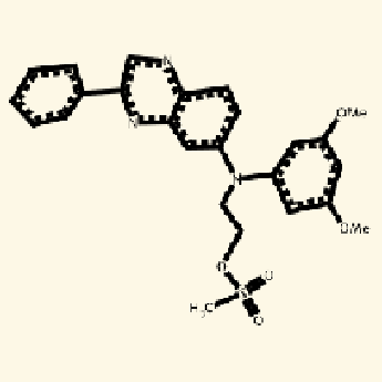 COc1cc(OC)cc(N(CCOS(C)(=O)=O)c2ccc3ncc(-c4ccccc4)nc3c2)c1